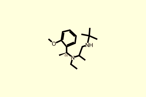 CCN(C(C)CNC(C)(C)C)[C@@H](C)c1ccccc1OC